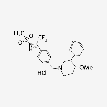 COC1CCN(Cc2ccc([C@H](NS(C)(=O)=O)C(F)(F)F)cc2)CC1c1ccccc1.Cl